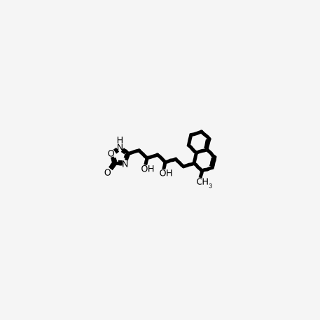 CC1C=CC2=CCCCC2C1CCC(O)CC(O)Cc1nc(=O)o[nH]1